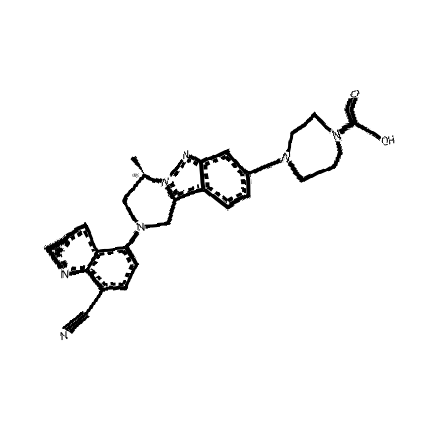 C[C@@H]1CN(c2ccc(C#N)c3ncccc23)Cc2c3ccc(N4CCN(C(=O)O)CC4)cc3nn21